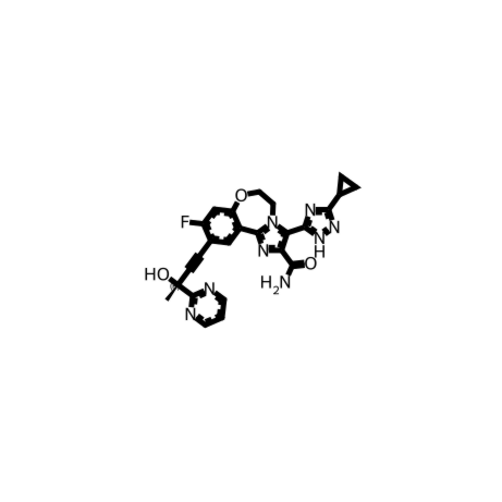 C[C@@](O)(C#Cc1cc2c(cc1F)OCCn1c-2nc(C(N)=O)c1-c1nc(C2CC2)n[nH]1)c1ncccn1